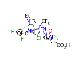 CCc1ccc(-c2ccc(Cl)c3c(N(SC)C(=O)N4CCC(C(=O)O)CC4)nn(CC(F)(F)F)c23)c(C(Cc2cc(F)cc(F)c2)NC=O)n1